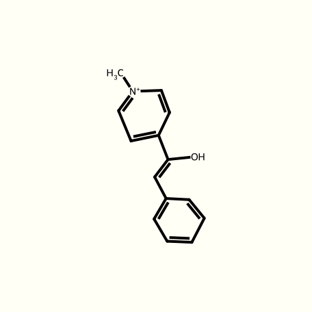 C[n+]1ccc(C(O)=Cc2ccccc2)cc1